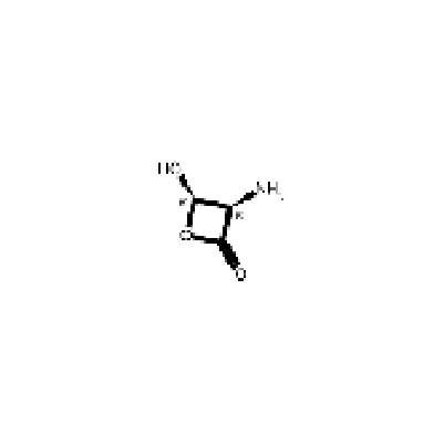 N[C@H]1C(=O)O[C@H]1O